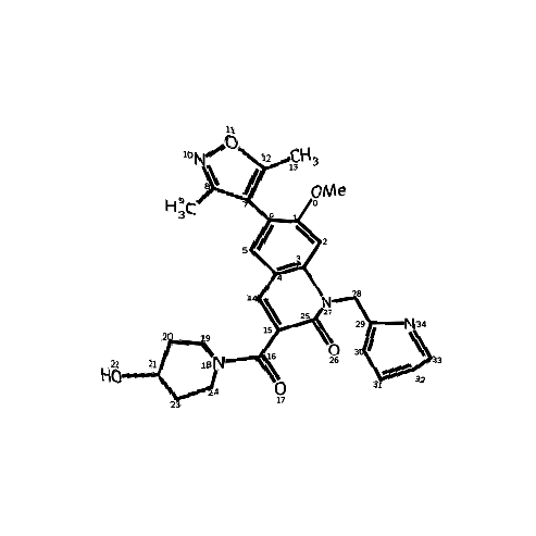 COc1cc2c(cc1-c1c(C)noc1C)cc(C(=O)N1CCC(O)CC1)c(=O)n2Cc1ccccn1